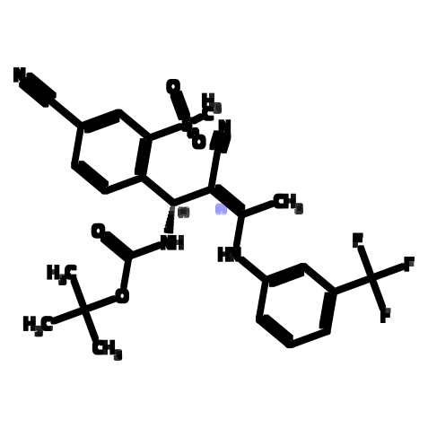 C/C(Nc1cccc(C(F)(F)F)c1)=C(\C#N)[C@H](NC(=O)OC(C)(C)C)c1ccc(C#N)cc1S(C)(=O)=O